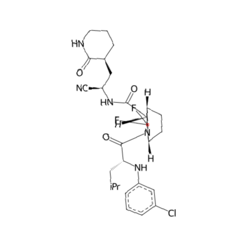 CC(C)C[C@@H](Nc1cccc(Cl)c1)C(=O)N1[C@H]2CC[C@@H]([C@H]1C(=O)N[C@@H](C#N)C[C@@H]1CCCNC1=O)C(F)(F)C2